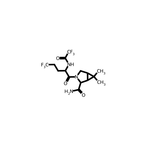 CC1(C)C2CN(C(=O)C(CCC(F)(F)F)NC(=O)C(F)(F)F)C(C(N)=O)C21